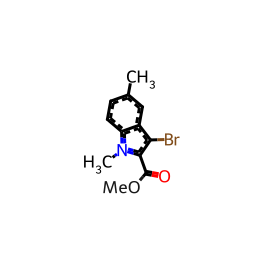 COC(=O)c1c(Br)c2cc(C)ccc2n1C